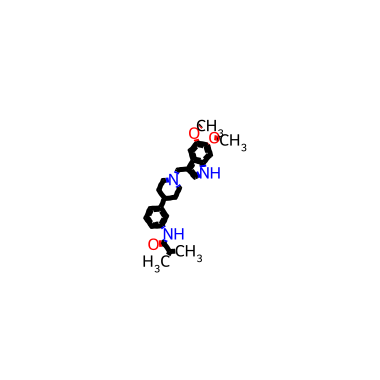 COc1cc2[nH]cc(CN3CCC(c4cccc(NC(=O)C(C)C)c4)CC3)c2cc1OC